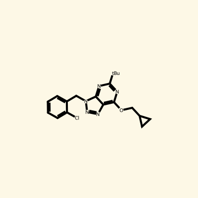 CC(C)(C)c1nc(OCC2CC2)c2nnn(Cc3ccccc3Cl)c2n1